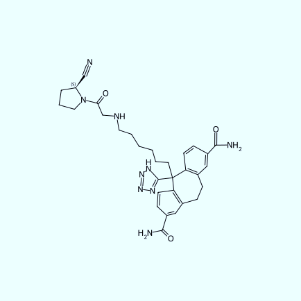 N#C[C@@H]1CCCN1C(=O)CNCCCCCCC1(c2nnn[nH]2)c2ccc(C(N)=O)cc2CCc2cc(C(N)=O)ccc21